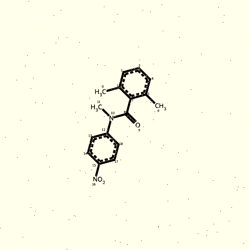 Cc1cccc(C)c1C(=O)N(C)c1ccc([N+](=O)[O-])cc1